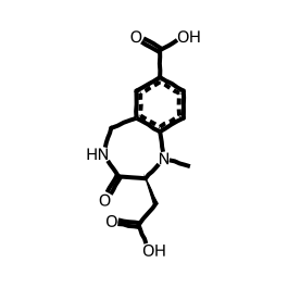 CN1c2ccc(C(=O)O)cc2CNC(=O)[C@@H]1CC(=O)O